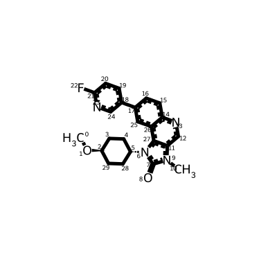 CO[C@H]1CC[C@H](n2c(=O)n(C)c3cnc4ccc(-c5ccc(F)nc5)cc4c32)CC1